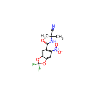 CC(C)(C#N)NC(=O)c1cc2c(cc1[N+](=O)[O-])OC(F)(F)O2